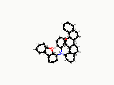 c1ccc(N(c2cccc3c2oc2ccccc23)c2cccc3ccc4c5ccc6ccccc6c5ccc4c23)cc1